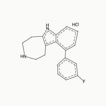 Cl.Fc1cccc(-c2cccc3[nH]c4c(c23)CCNCC4)c1